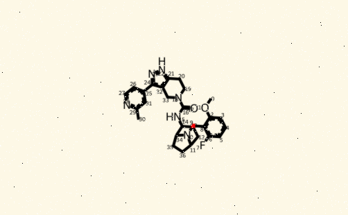 COc1cccc(F)c1CN1C2CCC(NC(=O)N3CCc4[nH]nc(-c5ccnc(C)c5)c4C3)C1CC2